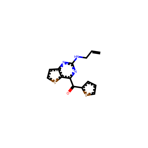 C=CCNc1nc(C(=O)c2cccs2)c2sccc2n1